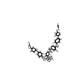 C#CCOc1ccc(-c2ccc(Oc3ccc(S(=O)(=O)c4ccc(Oc5ccc(-c6ccc(OC)cc6)cc5)c(S(=O)(=O)O)c4)cc3)cc2)cc1